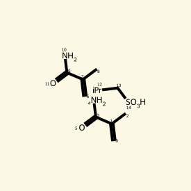 C=C(C)C(N)=O.C=C(C)C(N)=O.CC(C)CS(=O)(=O)O